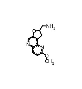 COc1ccc2ncc3c(c2n1)CC(CN)O3